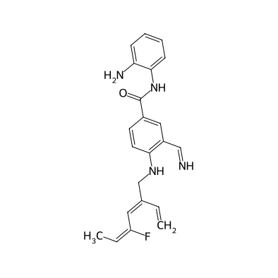 C=C/C(=C\C(F)=C/C)CNc1ccc(C(=O)Nc2ccccc2N)cc1C=N